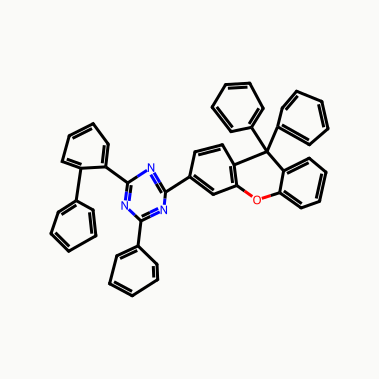 c1ccc(-c2nc(-c3ccc4c(c3)Oc3ccccc3C4(c3ccccc3)c3ccccc3)nc(-c3ccccc3-c3ccccc3)n2)cc1